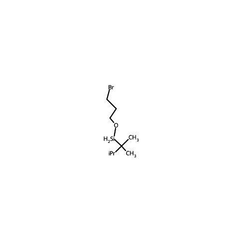 CC(C)C(C)(C)[SiH2]OCCCBr